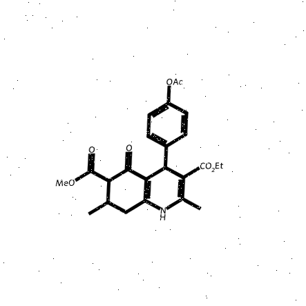 CCOC(=O)C1=C(C)NC2=C(C(=O)C(C(=O)OC)C(C)C2)C1c1ccc(OC(C)=O)cc1